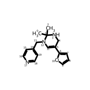 CC1(C)NCC(c2ccco2)=CN1Cc1ccncc1